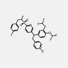 CC(Cc1ccc(F)cc1)S(=O)(=O)c1ccc(C(Cc2cc[n+]([O-])cc2)c2ccc(OC(F)F)c(OC(F)F)c2)cn1